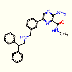 CNC(=O)c1nc(-c2cccc(CNCC(c3ccccc3)c3ccccc3)c2)cnc1N